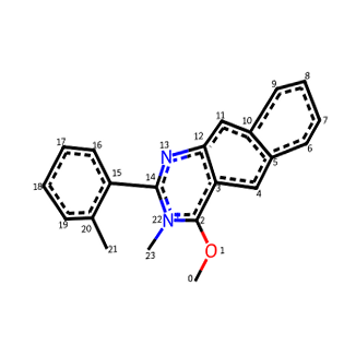 COc1c2cc3ccccc3cc2nc(-c2ccccc2C)[n+]1C